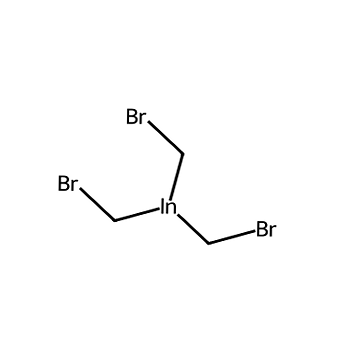 Br[CH2][In]([CH2]Br)[CH2]Br